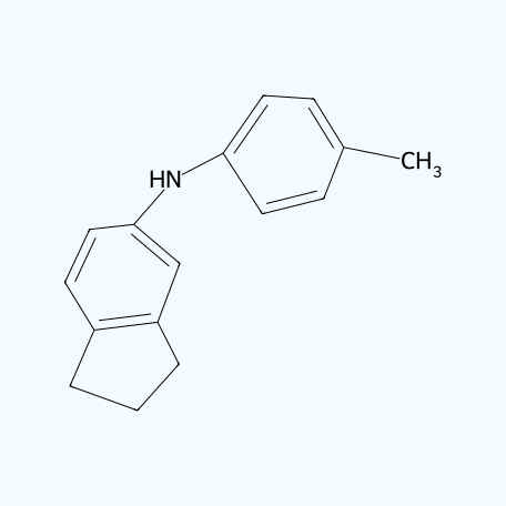 Cc1ccc(Nc2ccc3c(c2)CCC3)cc1